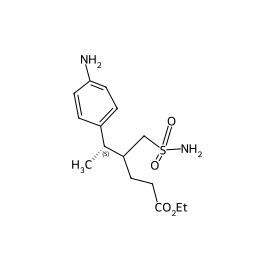 CCOC(=O)CCC(CS(N)(=O)=O)[C@H](C)c1ccc(N)cc1